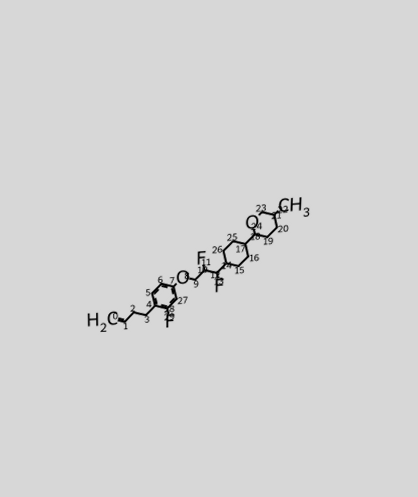 C=CCCc1ccc(OCC(F)C(F)C2CCC(C3CCC(C)CO3)CC2)cc1F